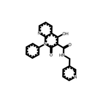 O=C(NCc1cccnc1)c1c(O)c2cccnc2n(-c2ccccc2)c1=O